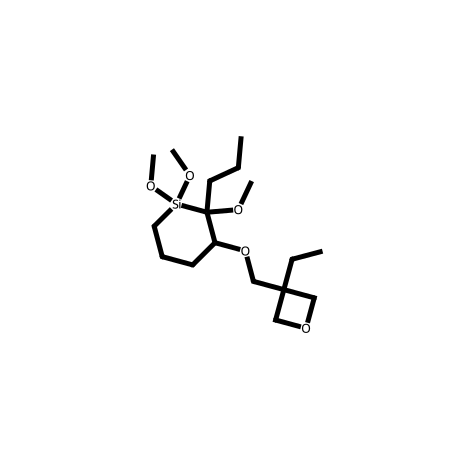 CCCC1(OC)C(OCC2(CC)COC2)CCC[Si]1(OC)OC